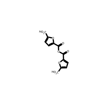 O=C(O)c1ccc(C(=O)OC(=O)c2ccc(C(=O)O)o2)o1